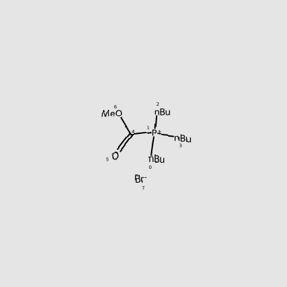 CCCC[P+](CCCC)(CCCC)C(=O)OC.[Br-]